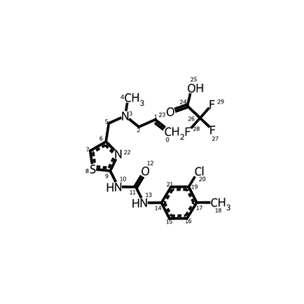 C=CCN(C)Cc1csc(NC(=O)Nc2ccc(C)c(Cl)c2)n1.O=C(O)C(F)(F)F